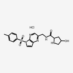 Cc1ccc(S(=O)(=O)n2ccc3nc(CNC(=O)C4CC(O)CN4)cnc32)cc1.Cl